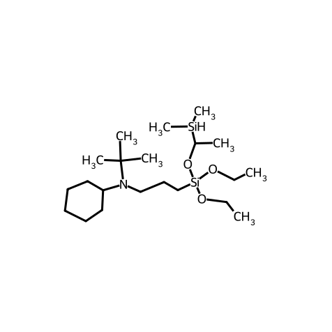 CCO[Si](CCCN(C1CCCCC1)C(C)(C)C)(OCC)OC(C)[SiH](C)C